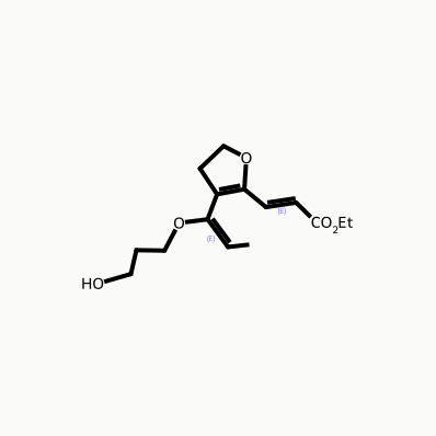 C/C=C(/OCCCO)C1=C(/C=C/C(=O)OCC)OCC1